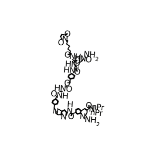 CCCN(CCC)C(=O)C1=Cc2ccc(C(=O)Nc3cnc4c(c3)CN(Cc3ccc(C(=O)NCCNC(=O)OCc5ccc(NC(=O)[C@H](CCCNC(N)=O)NC(=O)CNC(=O)CCCCCN6C(=O)C=CC6=O)cc5)cc3)CC4)cc2N=C(N)C1